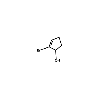 OC1CCC=C1Br